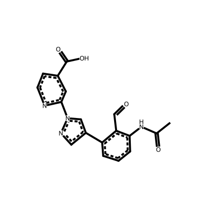 CC(=O)Nc1cccc(-c2cnn(-c3cc(C(=O)O)ccn3)c2)c1C=O